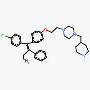 CC/C(=C(\c1ccc(Cl)cc1)c1ccc(OCCN2CCN(CC3CCNCC3)CC2)cc1)c1ccccc1